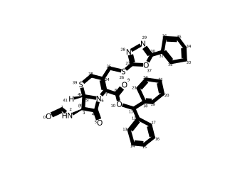 O=CN[C@@H]1C(=O)N2C(C(=O)OC(c3ccccc3)c3ccccc3)=C(CSc3nnc(-c4ccccc4)o3)CS[C@@H]12